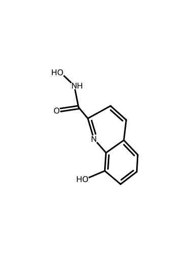 O=C(NO)c1ccc2cccc(O)c2n1